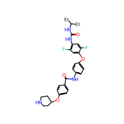 CCC(CC)NC(=O)Nc1cc(F)c(Oc2ccc(NC(=O)c3ccc(OC4CCNCC4)cc3)cc2)cc1F